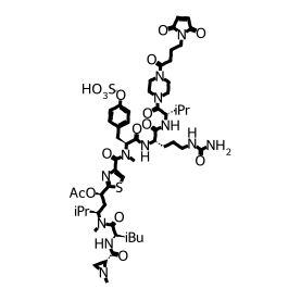 CC[C@H](C)[C@H](NC(=O)[C@H]1CN1C)C(=O)N(C)[C@H](C[C@@H](OC(C)=O)c1nc(C(=O)N(C)[C@@H](Cc2ccc(OS(=O)(=O)O)cc2)C(=O)N[C@@H](CCCNC(N)=O)C(=O)N[C@H](C(=O)N2CCN(C(=O)CCCN3C(=O)C=CC3=O)CC2)C(C)C)cs1)C(C)C